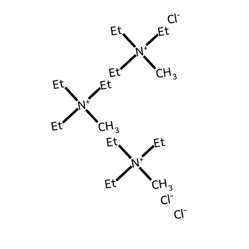 CC[N+](C)(CC)CC.CC[N+](C)(CC)CC.CC[N+](C)(CC)CC.[Cl-].[Cl-].[Cl-]